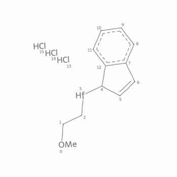 COC[CH2][Hf][CH]1C=Cc2ccccc21.Cl.Cl.Cl